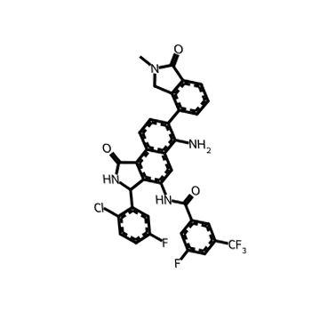 CN1Cc2c(cccc2-c2ccc3c4c(c(NC(=O)c5cc(F)cc(C(F)(F)F)c5)cc3c2N)C(c2cc(F)ccc2Cl)NC4=O)C1=O